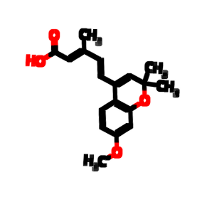 COc1ccc2c(c1)OC(C)(C)C=C2C=CC(C)=CC(=O)O